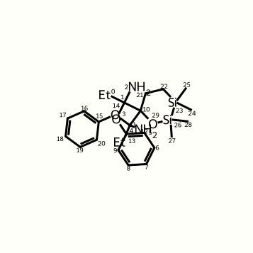 CCC(N)(Oc1ccccc1)C1(C(N)(CC)Oc2ccccc2)CC[Si](C)(C)[Si](C)(C)O1